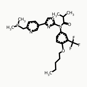 CCCCCOc1ccc(N(C(=O)C(C)C)c2nc(-c3ccc(CN(C)C)nc3)cs2)cc1C(F)(F)F